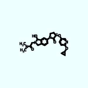 CN(C)C(=O)CN1Cc2ccc(N3CC[C@@H](Oc4ccc(OC5CC5)nc4)C3=O)cc2C1O